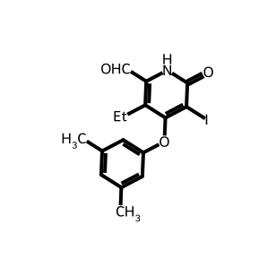 CCc1c(C=O)[nH]c(=O)c(I)c1Oc1cc(C)cc(C)c1